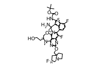 CN1c2nc(OC[C@@]34CCCN3C[C@H](F)C4)nc3c(F)c(-c4ccc(F)c5sc(NC(=O)OC(C)(C)C)c(C(N)=O)c45)nc(c23)OC[C@@H]1CCO